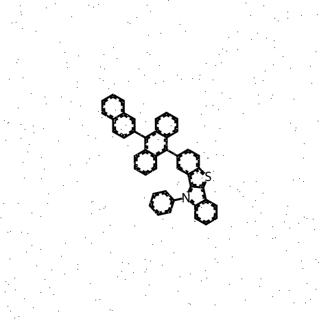 c1ccc(-n2c3ccccc3c3sc4ccc(-c5c6ccccc6c(-c6ccc7ccccc7c6)c6ccccc56)cc4c32)cc1